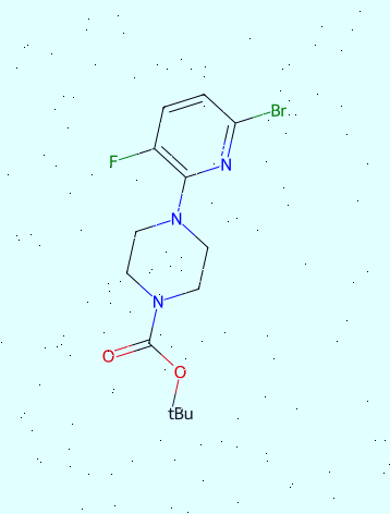 CC(C)(C)OC(=O)N1CCN(c2nc(Br)ccc2F)CC1